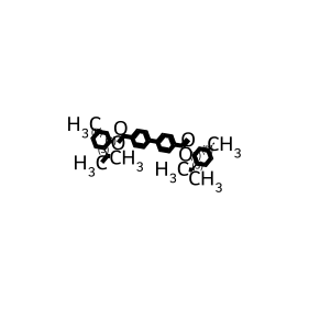 CC(C)[C@@H]1CC[C@@H](C)C[C@H]1OC(=O)c1ccc(-c2ccc(C(=O)O[C@@H]3C[C@H](C)CC[C@H]3C(C)C)cc2)cc1